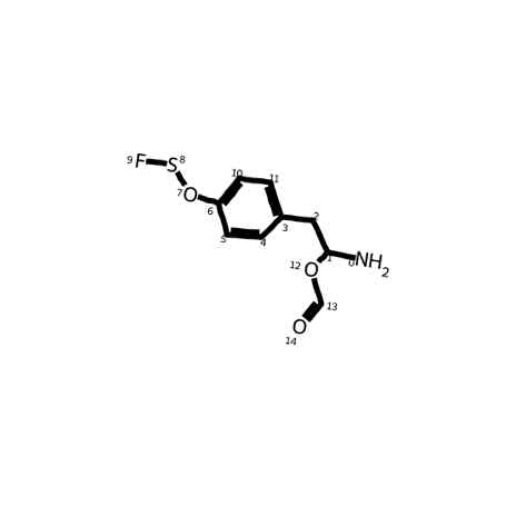 NC(Cc1ccc(OSF)cc1)OC=O